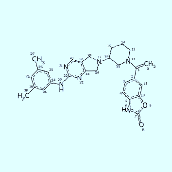 C=C(c1ccc2[nH]c(=O)oc2c1)N1CCCC(N2Cc3cnc(Nc4cc(C)cc(C)c4)nc3C2)C1